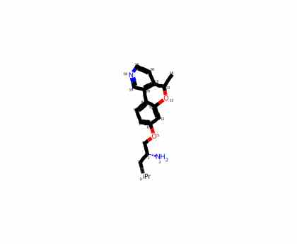 CC(C)C[C@@H](N)COc1ccc2c(c1)OC(C)c1ccncc1-2